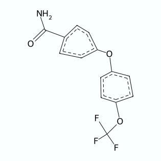 NC(=O)c1ccc(Oc2ccc(OC(F)(F)F)cc2)cc1